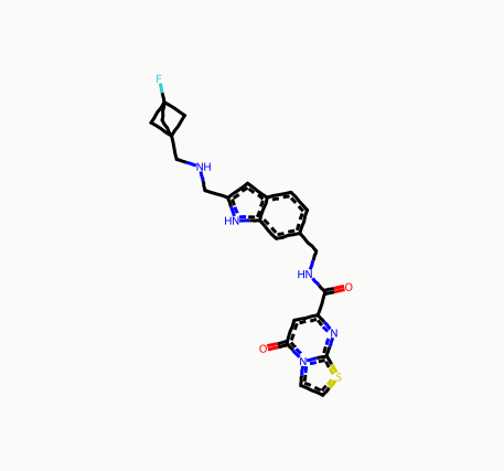 O=C(NCc1ccc2cc(CNCC34CC(F)(C3)C4)[nH]c2c1)c1cc(=O)n2ccsc2n1